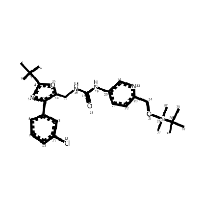 CC(C)(C)c1nc(-c2cccc(Cl)c2)c(CNC(=O)Nc2ccc(CO[Si](C)(C)C(C)(C)C)nc2)o1